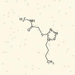 CCCCn1cnnc1SCC(=O)NC